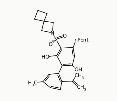 C=C(C)c1ccc(C)cc1-c1c(O)cc(CCCCC)c(S(=O)(=O)N2CC3(CCC3)C2)c1O